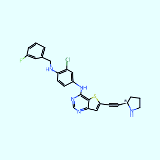 Fc1cccc(CNc2ccc(Nc3ncnc4cc(C#C[C@H]5CCCN5)sc34)cc2Cl)c1